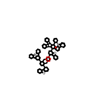 c1ccc(-n2c3ccccc3c3ccccc32)c(-c2ccc(-c3ccc(-c4ccc5c(c4)C4c6ccccc6C5c5c(-c6cccc7oc8ccccc8c67)ccc(-c6cc7c8ccccc8n8c9ccccc9c(c6)c78)c54)c4c3oc3ccccc34)c3c2C2c4ccccc4C24c2ccccc2C34)c1